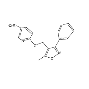 Cc1onc(-c2ccccc2)c1COc1ccc([C]=O)cn1